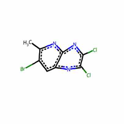 Cc1nc2nc(Cl)c(Cl)nc2cc1Br